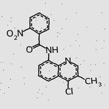 Cc1cnc2c(NC(=O)c3ccccc3[N+](=O)[O-])cccc2c1Cl